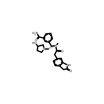 CN(C(=O)Cc1ccc2c(c1)NC(=O)C2)[C@H](CN1CCC(O)C1)c1cccc(C(N)=O)c1